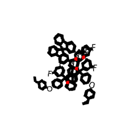 C=Cc1ccc(Oc2ccc(C3(c4cc(F)cc(F)c4)c4ccccc4-c4ccc(N(c5ccc(F)cc5)c5ccc6c(c5)C5(c7ccccc7-6)c6ccccc6-c6ccc(N(c7ccc(F)cc7)c7ccc8c(c7)C(c7ccc(Oc9ccc(C=C)cc9)cc7)(c7cc(F)cc(F)c7)c7ccccc7-8)cc65)cc43)cc2)cc1